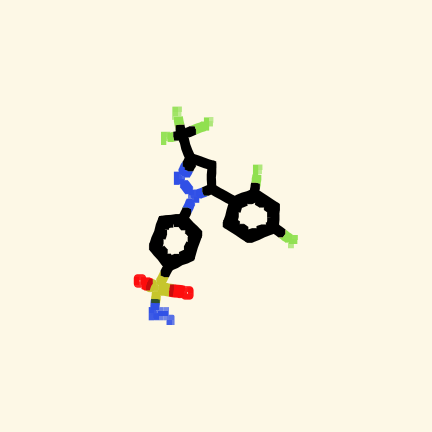 NS(=O)(=O)c1ccc(N2N=C(C(F)(F)F)CC2c2ccc(F)cc2F)cc1